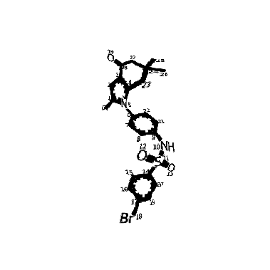 Cc1cc2c(n1-c1ccc(NS(=O)(=O)c3ccc(Br)cc3)cc1)CC(C)(C)CC2=O